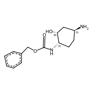 N[C@H]1CC[C@H](NC(=O)OCc2ccccc2)[C@H](O)C1